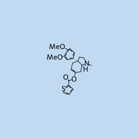 COc1ccc([C@@]23CC=C(OC(=O)c4cccs4)C[C@@H]2N(C)CC3)cc1OC